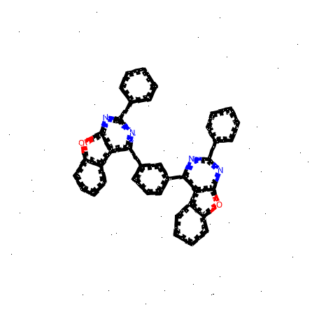 c1ccc(-c2nc(-c3cccc(-c4nc(-c5ccccc5)nc5oc6ccccc6c45)c3)c3c(n2)oc2ccccc23)cc1